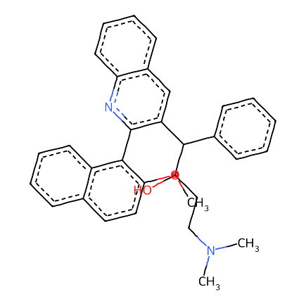 COc1ccc2ccccc2c1-c1nc2ccccc2cc1C(c1ccccc1)C(O)CCN(C)C